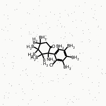 Bc1c(B)c(B)c(C2(N)C(=O)CC(B)(B)C(B)(B)C2(B)B)c(Cl)c1B